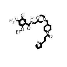 CCOc1cc(N)c(Cl)cc1C(=O)NCC1CN(CC2CCN(C(=O)C=Cc3cccs3)CC2)CCO1